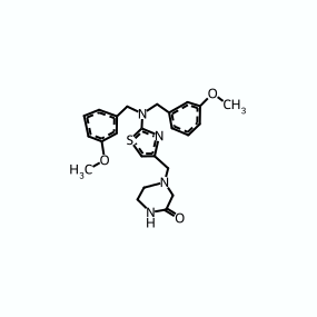 COc1cccc(CN(Cc2cccc(OC)c2)c2nc(CN3CCNC(=O)C3)cs2)c1